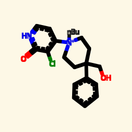 CCCC[N+]1(c2cc[nH]c(=O)c2Cl)CCC(CO)(c2ccccc2)CC1